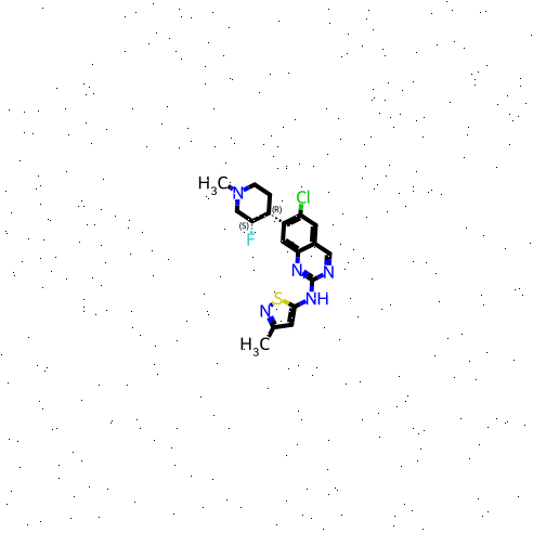 Cc1cc(Nc2ncc3cc(Cl)c([C@H]4CCN(C)C[C@H]4F)cc3n2)sn1